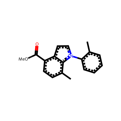 COC(=O)c1ccc(C)c2c1ccn2-c1ccccc1C